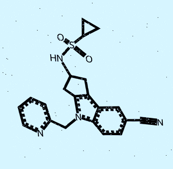 N#Cc1ccc2c(c1)c1c(n2Cc2ccccn2)CC(NS(=O)(=O)C2CC2)C1